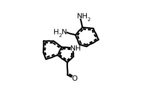 Nc1ccccc1N.O=Cc1c[nH]c2ccccc12